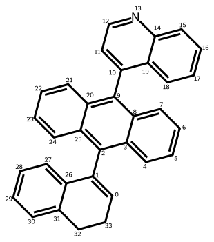 C1=C(c2c3ccccc3c(-c3ccnc4ccccc34)c3ccccc23)c2ccccc2CC1